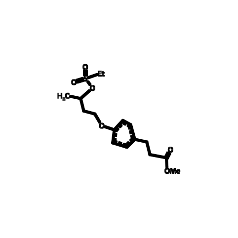 CCS(=O)(=O)OC(C)CCOc1ccc(CCC(=O)OC)cc1